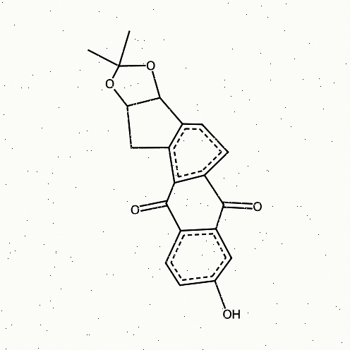 CC1(C)OC2Cc3c(ccc4c3C(=O)c3ccc(O)cc3C4=O)C2O1